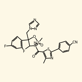 Cc1nc(-c2ccc(C#N)cc2)sc1C(=O)NC(C)C(Cn1cncn1)(OS(C)(=O)=O)c1ccc(F)cc1F